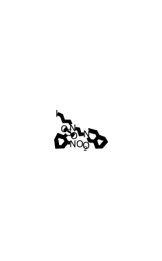 O=c1c2ccccc2ccn1CCN(CCCI)S(=O)(=O)c1ccccc1[N+](=O)[O-]